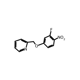 O=[N+]([O-])c1ccc(OCc2ccccn2)cc1F